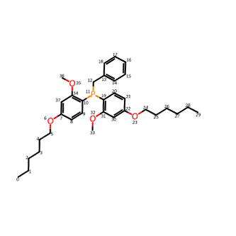 CCCCCCOc1ccc(P(Cc2ccccc2)c2ccc(OCCCCCC)cc2OC)c(OC)c1